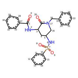 O=C(NC1CC(NS(=O)(=O)c2ccccc2)CN(Cc2ccccc2)C1=O)c1ccccc1